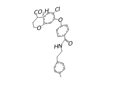 Cc1ccc(CCNC(=O)c2ccc(Oc3cc4c(cc3Cl)C(C(=O)O)CCO4)cc2)cc1